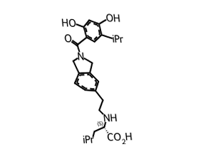 CC(C)C[C@H](NCCc1ccc2c(c1)CN(C(=O)c1cc(C(C)C)c(O)cc1O)C2)C(=O)O